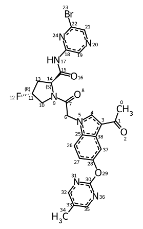 CC(=O)c1cn(CC(=O)N2C[C@H](F)C[C@H]2C(=O)Nc2cncc(Br)n2)c2ccc(Oc3ncc(C)cn3)cc12